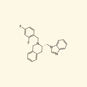 Fc1ccc(CN2Cc3ccccc3C[C@H]2Cn2cnc3ccccc32)c(F)c1